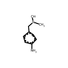 [CH]N(C)Cc1ccc(N)cc1